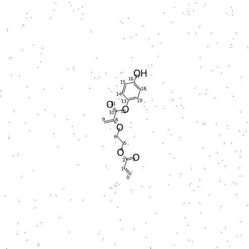 C=CC(=O)OCCOC(=C)C(=O)Oc1ccc(O)cc1